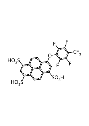 O=S(=O)(O)c1cc(Oc2c(F)c(F)c(C(F)(F)F)c(F)c2F)c2ccc3c(S(=O)(=O)O)cc(S(=O)(=O)O)c4ccc1c2c34